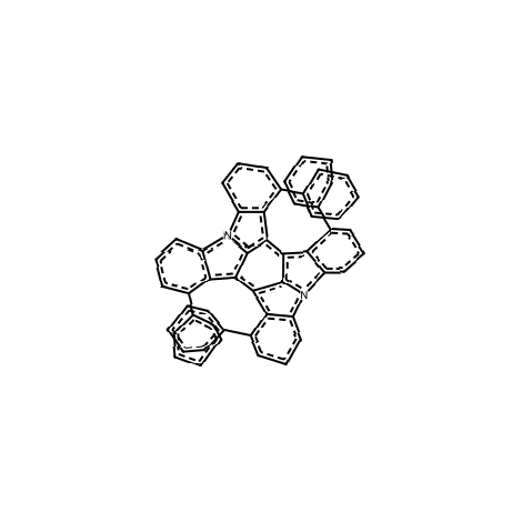 c1ccc(-c2cccc3c2c2c4c5c(-c6ccccc6)cccc5n5c6cccc(-c7ccccc7)c6c(c6c7c(-c8ccccc8)cccc7n3c26)c45)cc1